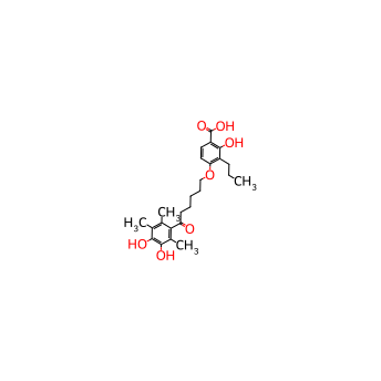 CCCc1c(OCCCCCC(=O)c2c(C)c(C)c(O)c(O)c2C)ccc(C(=O)O)c1O